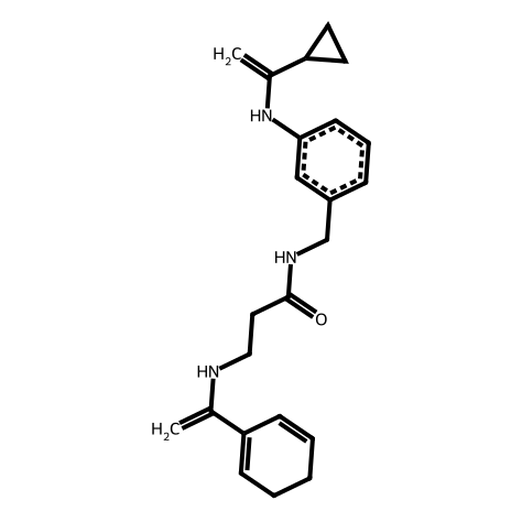 C=C(NCCC(=O)NCc1cccc(NC(=C)C2CC2)c1)C1=CCCC=C1